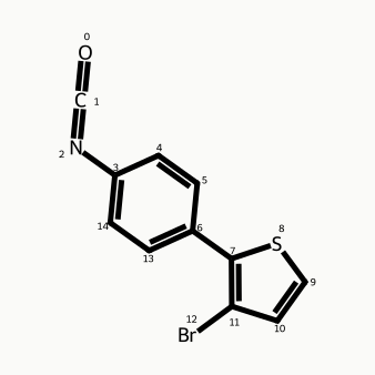 O=C=Nc1ccc(-c2sccc2Br)cc1